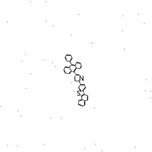 c1ccc(-c2c3ccccc3c(-c3ccc(-c4ccc5c(c4)sc4c6ccccc6ccc54)nc3)c3ccccc23)cc1